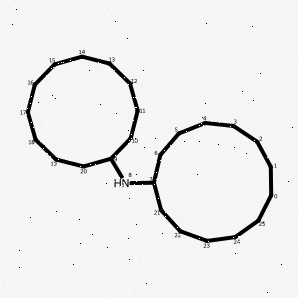 C1CCCCCCC(NC2CCCCCCCCCCC2)CCCCC1